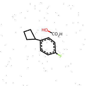 Fc1ccc(C2CCC2)cc1.O=C(O)O